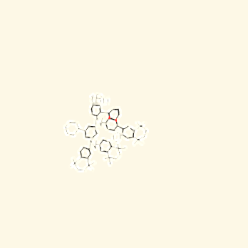 CC(C)(C)c1ccc(N(c2cc(C3CCCCC3)cc(N(c3ccc4c(c3)C(C)(C)CCC4(C)C)c3ccc4c(c3)C(C)(C)CCC4(C)C)c2)c2ccc3c(c2)oc2cc4c(cc23)C(C)(C)CCC4(C)C)c(-c2ccccc2)c1